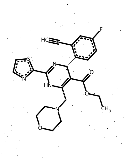 C#Cc1cc(F)ccc1[C@H]1N=C(c2nccs2)NC(CN2CCOCC2)=C1C(=O)OCC